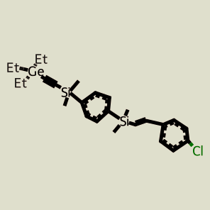 C[CH2][Ge]([C]#C[Si](C)(C)c1ccc([Si](C)(C)/C=C/c2ccc(Cl)cc2)cc1)([CH2]C)[CH2]C